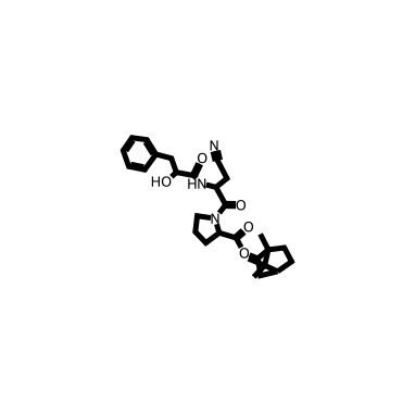 CC1(C)C2CCC1(C)C(OC(=O)C1CCCN1C(=O)C(CC#N)NC(=O)C(O)Cc1ccccc1)C2